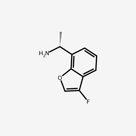 C[C@@H](N)c1cccc2c(F)coc12